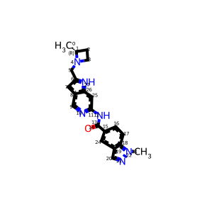 C[C@@H]1CCN1Cc1cc2cnc(NC(=O)c3ccc4c(cnn4C)c3)cc2[nH]1